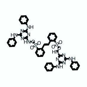 O=S(=O)(ONc1nc(Nc2ccccc2)nc(Nc2ccccc2)n1)c1ccccc1C=Cc1ccccc1S(=O)(=O)ONc1nc(Nc2ccccc2)nc(Nc2ccccc2)n1